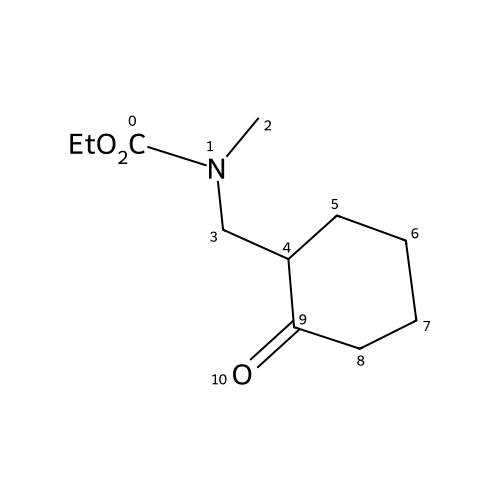 CCOC(=O)N(C)CC1CCCCC1=O